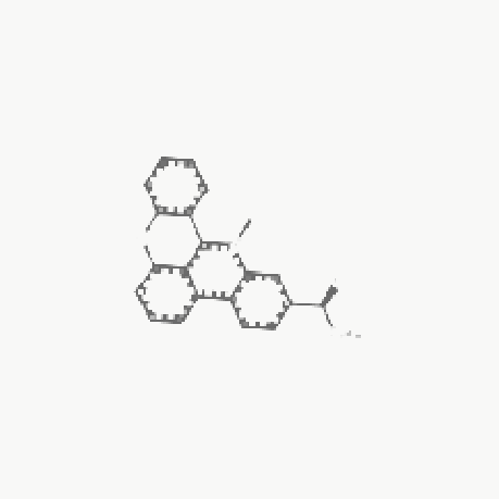 COC(=O)c1ccc2c3cccc4c3c([n+](C)c2c1)-c1ccccc1O4